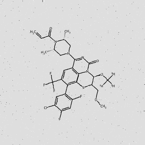 [2H]C([2H])([2H])O[C@H]1C(COC)Sc2c(-c3cc(Cl)c(F)cc3F)c(C(F)(F)F)cc3c(N4C[C@@H](C)N(C(=O)C=C)[C@@H](C)C4)nc(=O)n1c23